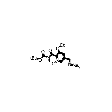 CCOc1cc(CN=[N+]=[N-])c[n+]([O-])c1C(=O)N(C)C(=O)OC(C)(C)C